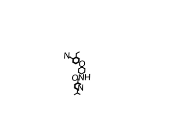 CCc1cc(O[C@H]2CC[C@H](NC(=O)c3ccc(C(C)C)nc3)CC2)ccc1C#N